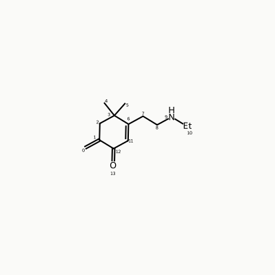 C=C1CC(C)(C)C(CCNCC)=CC1=O